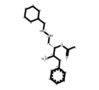 CC(=O)O[C@@H](CNNCC1CCCCC1)C(N)Cc1ccccc1